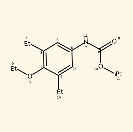 CCOc1c(CC)cc(NC(=O)OC(C)C)cc1CC